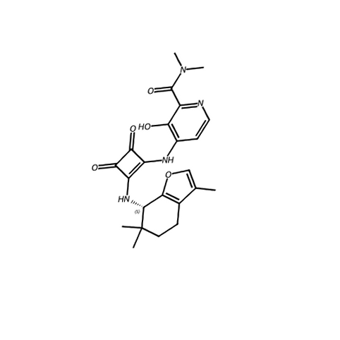 Cc1coc2c1CCC(C)(C)[C@@H]2Nc1c(Nc2ccnc(C(=O)N(C)C)c2O)c(=O)c1=O